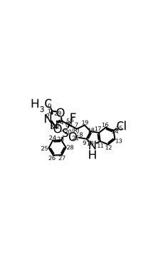 Cc1nnc([C@](F)([C@H]2Cc3[nH]c4ccc(Cl)cc4c3C2)S(=O)(=O)c2ccccc2)o1